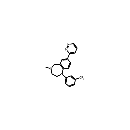 CN1CCN(c2cccc(C(F)(F)F)c2)c2ccc(-c3cccnn3)cc2C1